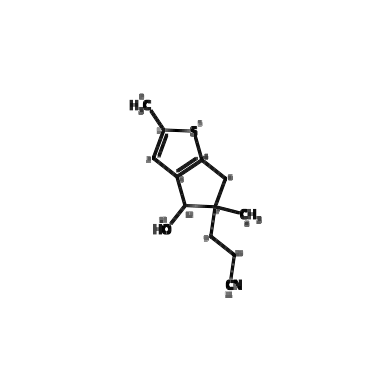 Cc1cc2c(s1)CC(C)(CCC#N)C2O